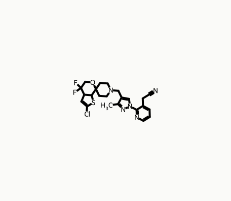 Cc1nn(-c2ncccc2CC#N)cc1CN1CCC2(CC1)OCC(F)(F)C1C=C(Cl)SC12